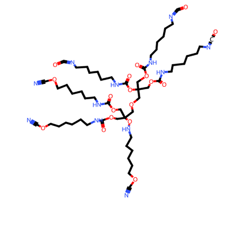 N#COCCCCCCNOC(COCC(COC(=O)NCCCCCCN=C=O)(COC(=O)NCCCCCCN=C=O)OC(=O)NCCCCCCN=C=O)(COC(=O)NCCCCCCOC#N)COC(=O)NCCCCCCOC#N